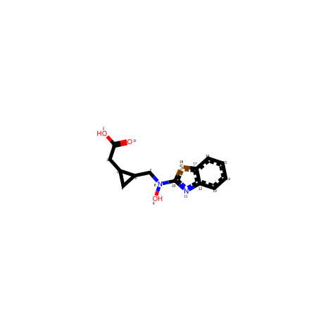 O=C(O)CC1CC1CN(O)c1nc2ccccc2s1